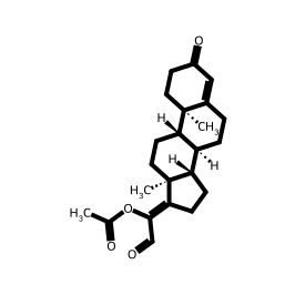 CC(=O)OC(C=O)=C1CC[C@H]2[C@@H]3CCC4=CC(=O)CC[C@]4(C)[C@H]3CC[C@]12C